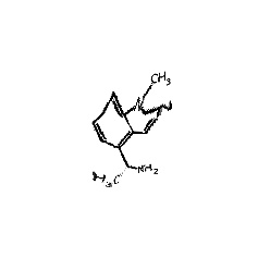 C[C@@H](N)c1cccc2c1cnn2C